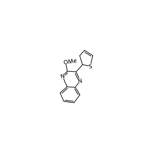 COc1nc2ccccc2nc1C1CC=CS1